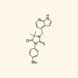 CC(C)(C)c1ccc(N2C(=O)C(C)(C)N(Cc3ccnc4[nH]ccc34)C2=S)cc1